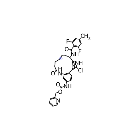 Cc1cc(F)c(C(=O)NC2C/C=C/CCC(=O)Nc3cc(NC(=O)OCc4ccccn4)ccc3-c3nc2[nH]c3Cl)c(F)c1